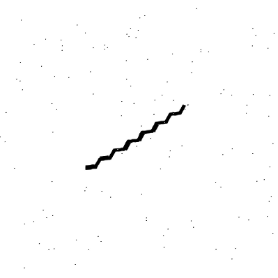 [CH2]CCCC=CC=CC=CCC=CC=C